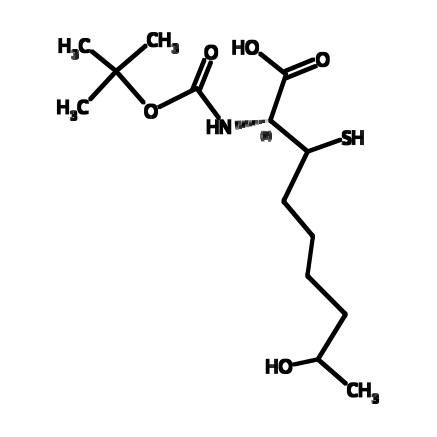 CC(O)CCCCC(S)[C@H](NC(=O)OC(C)(C)C)C(=O)O